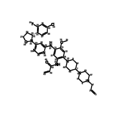 C=CCN1CCN(C2CCN(c3cc(OC)c(Nc4cc(N5OCC[C@@H]5c5ccc(Cl)cc5F)ncn4)cc3NC(=O)C=C)CC2)CC1